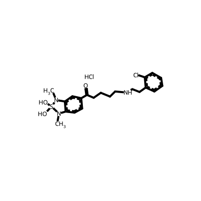 CN1c2ccc(C(=O)CCCCNCCc3ccccc3Cl)cc2N(C)S1(O)O.Cl